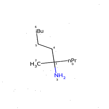 CCCC(C)(N)CCC(C)CC